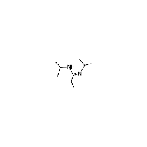 CCC(=NC(C)C)NC(C)C